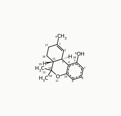 CC1=C[C@H]2c3c(O)cccc3OC(C)(C)[C@@H]2CC1